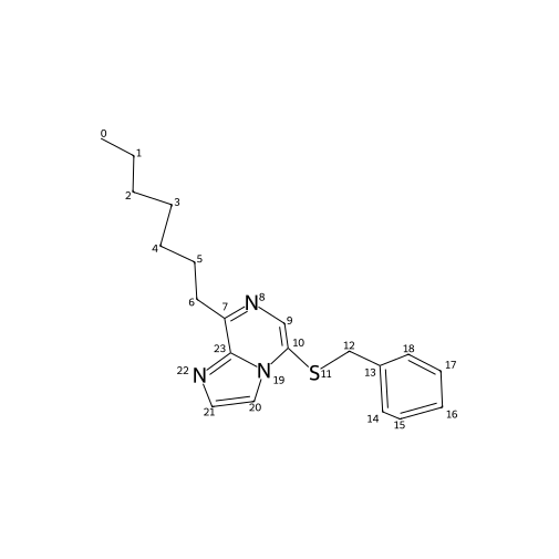 CCCCCCCc1ncc(SCc2ccccc2)n2ccnc12